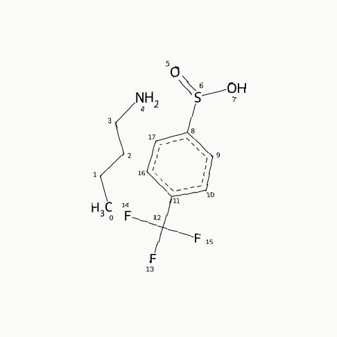 CCCCN.O=S(O)c1ccc(C(F)(F)F)cc1